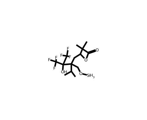 CC(C)C(CO[SiH3])(CC1OC(=O)C1(C)C)C(O)(C(F)(F)F)C(F)(F)F